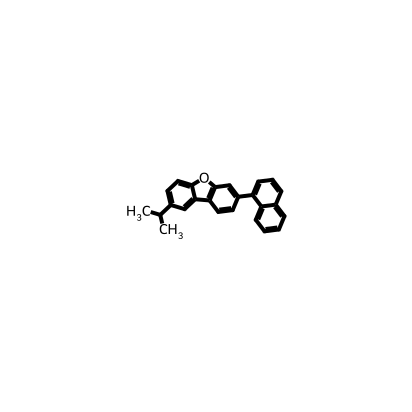 CC(C)c1ccc2oc3cc(-c4cccc5ccccc45)ccc3c2c1